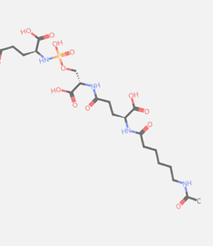 CC(=O)NCCCCCC(=O)N[C@@H](CCC(=O)N[C@@H](COP(=O)(O)N[C@@H](CCC(=O)O)C(=O)O)C(=O)O)C(=O)O